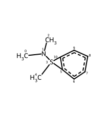 CN(C)S1(C)c2ccccc21